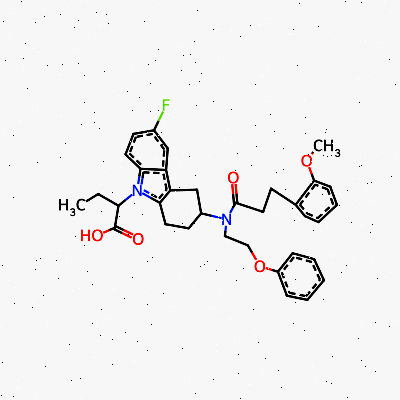 CCC(C(=O)O)n1c2c(c3cc(F)ccc31)CC(N(CCOc1ccccc1)C(=O)CCc1ccccc1OC)CC2